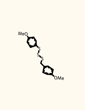 COc1ccc(CSSSc2ccc(OC)cc2)cc1